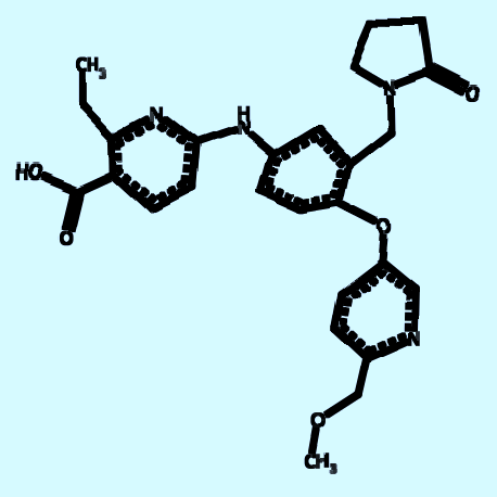 CCc1nc(Nc2ccc(Oc3ccc(COC)nc3)c(CN3CCCC3=O)c2)ccc1C(=O)O